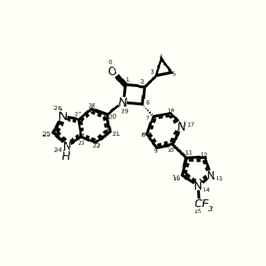 O=C1C(C2CC2)[C@H](c2ccc(-c3cnn(C(F)(F)F)c3)nc2)N1c1ccc2[nH]cnc2c1